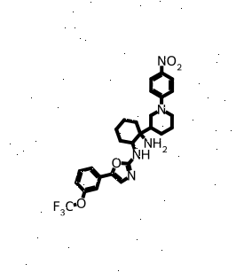 NC1(C2CCCN(c3ccc([N+](=O)[O-])cc3)C2)CCCCC1Nc1ncc(-c2cccc(OC(F)(F)F)c2)o1